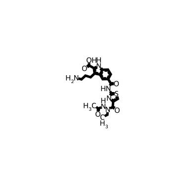 CCN(NC(C)=O)C(=O)c1csc(NC(=O)c2ccc3[nH]c(C(=O)O)c(CCCN)c3c2)n1